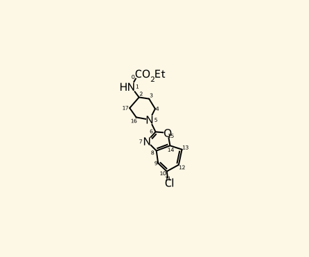 CCOC(=O)NC1CCN(c2nc3cc(Cl)ccc3o2)CC1